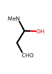 CNC(O)CC=O